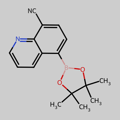 CC1(C)OB(c2ccc(C#N)c3ncccc23)OC1(C)C